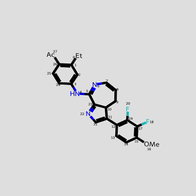 CCc1cc(NC2=NC=CCC3C(c4ccc(OC)c(F)c4F)=CN=C23)ccc1C(C)=O